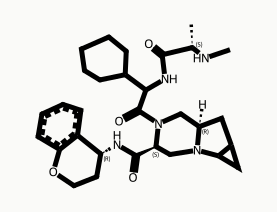 CN[C@@H](C)C(=O)NC(C(=O)N1C[C@H]2CC3CC3N2C[C@H]1C(=O)N[C@@H]1CCOc2ccccc21)C1CCCCC1